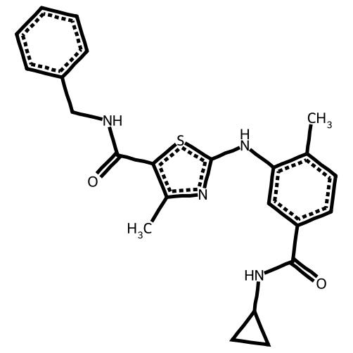 Cc1ccc(C(=O)NC2CC2)cc1Nc1nc(C)c(C(=O)NCc2ccccc2)s1